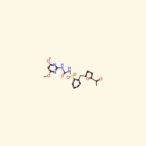 COc1cc(OC)nc(NC(=O)NS(=O)(=O)c2ccccc2Cc2ccc(C(C)=O)o2)n1